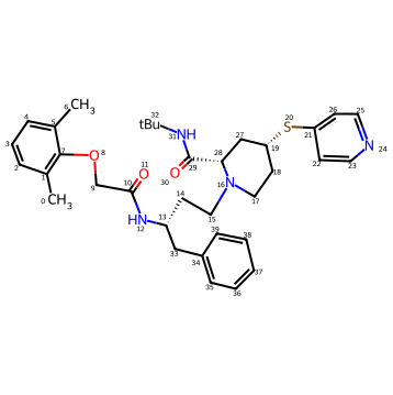 Cc1cccc(C)c1OCC(=O)N[C@H](CCN1CC[C@@H](Sc2ccncc2)C[C@H]1C(=O)NC(C)(C)C)Cc1ccccc1